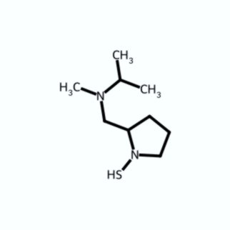 CC(C)N(C)CC1CCCN1S